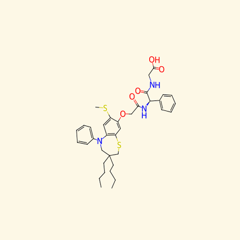 CCCCC1(CCCC)CSc2cc(OCC(=O)N[C@@H](C(=O)NCC(=O)O)c3ccccc3)c(SC)cc2N(c2ccccc2)C1